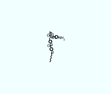 CCCCCCCOc1ccc(C(=O)Oc2ccc(C[C@H](NC(=O)c3ccc(N)cc3)C(=O)OC(C)(C)C)cc2)cc1